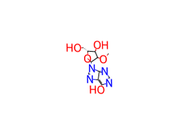 CO[C@@H]1[C@H](O)[C@@H](CO)O[C@H]1n1cnc2c(O)ncnc21